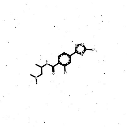 CC(CN(C)C)NC(=O)c1ccc(-c2noc(C(F)(F)F)n2)cc1Cl